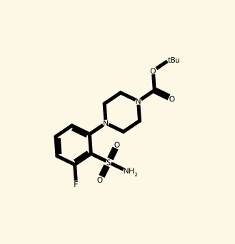 CC(C)(C)OC(=O)N1CCN(c2cccc(F)c2S(N)(=O)=O)CC1